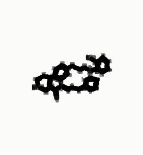 O=C(NCCCc1ccccc1)C1=C(c2ccc(CCCOc3ccccc3Cl)cc2)CCNC1